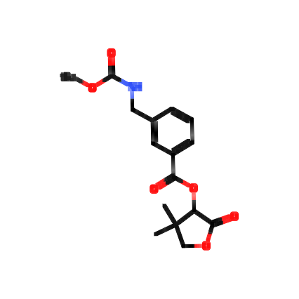 CC(C)(C)OC(=O)NCc1cccc(C(=O)OC2C(=O)OCC2(C)C)c1